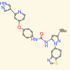 CC(C)(C)c1cc(NC(=O)Nc2ccc(Oc3ccnc(-c4cn[nH]c4)c3)cc2)n(-c2ccc3scnc3c2)n1